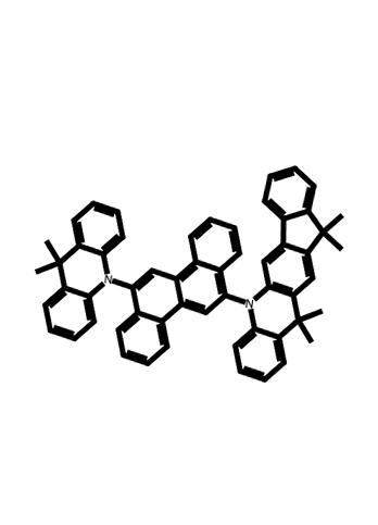 CC1(C)c2ccccc2-c2cc3c(cc21)C(C)(C)c1ccccc1N3c1cc2c3ccccc3c(N3c4ccccc4C(C)(C)c4ccccc43)cc2c2ccccc12